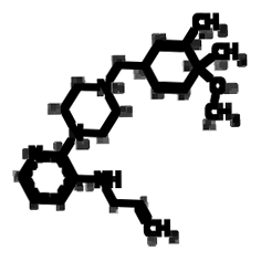 C=CCNc1cccnc1N1CCN(CC2C=CC(C)(OC)C(C)=C2)CC1